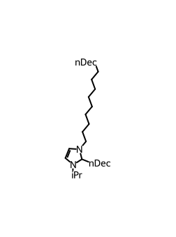 CCCCCCCCCCCCCCCCCCCN1C=CN(C(C)C)C1CCCCCCCCCC